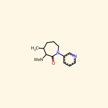 CNC1C(=O)N(c2cccnc2)CCCC1C